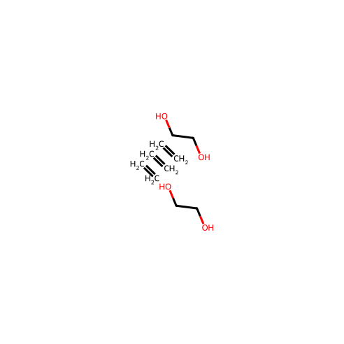 C=C.C=C.C=C.OCCO.OCCO